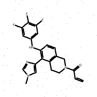 C=CC(=O)N1CCc2c(ccc(Nc3cc(F)c(F)c(F)c3)c2-c2cn(C)cn2)C1